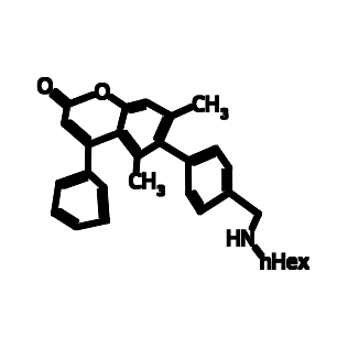 CCCCCCNCc1ccc(-c2c(C)cc3oc(=O)cc(-c4ccccc4)c3c2C)cc1